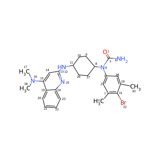 Cc1cc(N(C(N)=O)C2CCC(Nc3cc(N(C)C)c4ccccc4n3)CC2)cc(C)c1Br